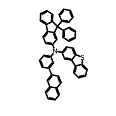 c1ccc(C2(c3ccccc3)c3ccccc3-c3ccc(N(c4cccc(-c5ccc6ccccc6c5)c4)c4ccc5sc6ccccc6c5c4)cc32)cc1